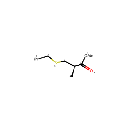 COC(=O)[C@@H](C)CSCC(C)C